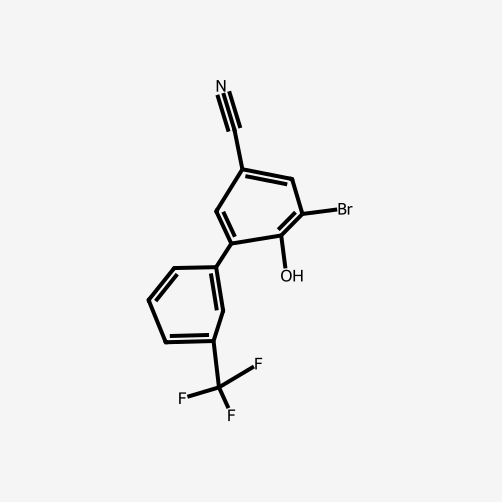 N#Cc1cc(Br)c(O)c(-c2cccc(C(F)(F)F)c2)c1